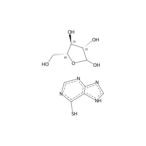 OC[C@H]1OC(O)[C@@H](O)[C@@H]1O.Sc1ncnc2nc[nH]c12